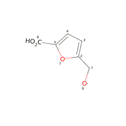 [O]Cc1ccc(C(=O)O)o1